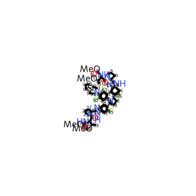 COC(=O)N[C@H](C(=O)N1CCC[C@H]1c1nc2cc([C@H]3CC[C@H](c4cc5nc([C@@H]6CCCN6C(=O)[C@@H](NC(=O)OC)[C@@H](C)OC)[nH]c5cc4F)N3c3cc(F)c(N4CC[Si]5(CCC5)CC4)c(F)c3)c(F)cc2[nH]1)[C@@H](C)OC